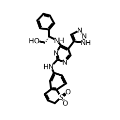 O=S1(=O)CC=Cc2cc(Nc3ncc(-c4cnn[nH]4)c(N[C@H](CO)c4ccccc4)n3)ccc21